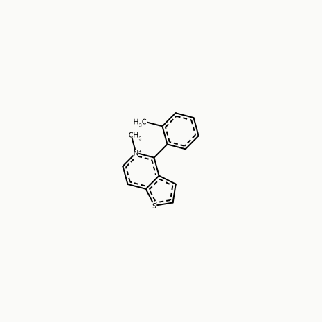 Cc1ccccc1-c1c2ccsc2cc[n+]1C